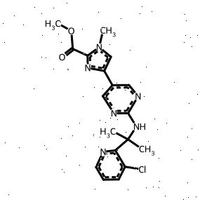 COC(=O)c1nc(-c2cnc(NC(C)(C)c3ncccc3Cl)nc2)cn1C